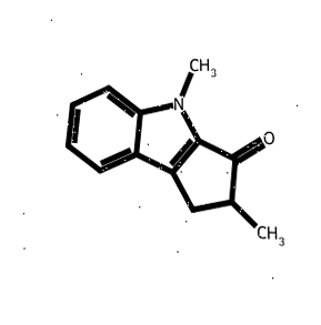 CC1Cc2c(n(C)c3ccccc23)C1=O